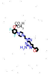 C[C@H](Oc1cc(N2CCN(CCn3cnc4c3nc(N)n3nc(-c5ccco5)cc43)CC2)c(F)cc1F)C(=O)O